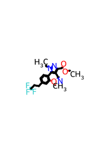 CCOC(=O)c1nn(CC)c(-c2ccc(CCC(F)(F)F)cc2OC)c1C#N